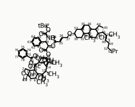 CC(=O)O[C@@]12CO[C@@H]1C[C@H](C)[C@@]1(C)C(=O)[C@H](C)C3=C(C)[C@@H](OC(=O)C(OC(=O)/C=C/CO[C@H]4CC[C@@]5(C)C(=CCC6C5CC[C@@]5(C)C6CC[C@@H]5[C@H](C)CCCC(C)C)C4)[C@@H](NC(=O)OC(C)(C)C)c4ccccc4)C[C@@](O)([C@@H](OC(=O)c4ccccc4)[C@H]21)C3(C)C